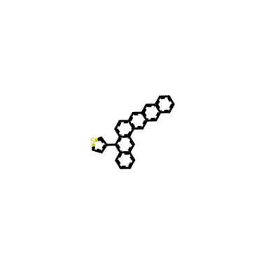 c1ccc2cc3cc4c(ccc5c(-c6ccsc6)c6ccccc6cc54)cc3cc2c1